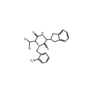 CCC(CC)C1C(=O)NC(C2Cc3ccccc3C2)C(=O)N1Cc1ccccc1[N+](=O)[O-]